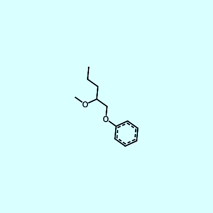 CCCC(COc1ccccc1)OC